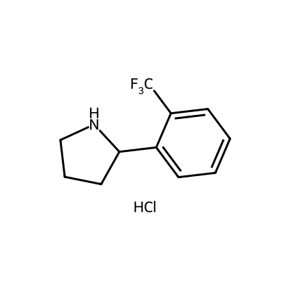 Cl.FC(F)(F)c1ccccc1C1CCCN1